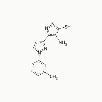 Cc1cccc(-n2ccc(-c3nnc(S)n3N)n2)c1